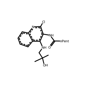 CCCCCC(=O)Nc1c(Cl)nc2ccccc2c1NCC(C)(C)O